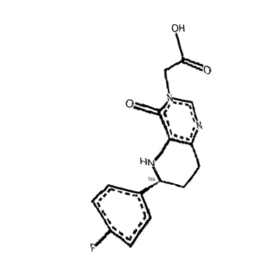 O=C(O)Cn1cnc2c(c1=O)N[C@H](c1ccc(F)cc1)CC2